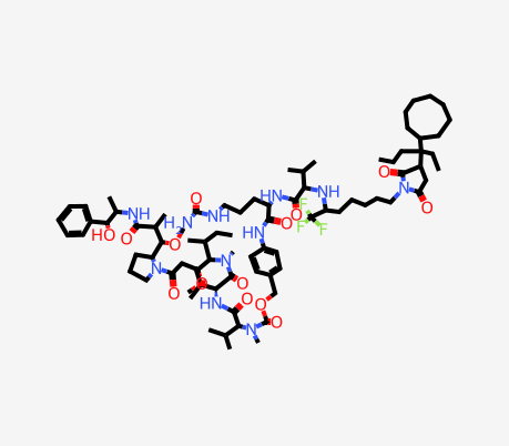 CCCC(CC)(C1CCCCCCC1)C1CC(=O)N(CCCCCC(NC(C(=O)NC(CCCNC(N)=O)C(=O)Nc2ccc(COC(=O)N(C)C(C(=O)N[C@H](C(=O)N(C)C(C(C)CC)C(CC(=O)N3CCCC3C(OC)C(C)C(=O)NC(C)C(O)c3ccccc3)OC)C(C)C)C(C)C)cc2)C(C)C)C(F)(F)F)C1=O